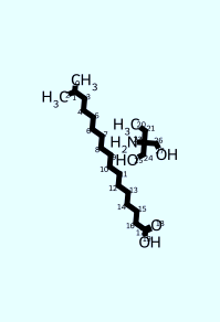 CC(C)CCCCCCCCCCCCCCC(=O)O.CCC(N)(CO)CO